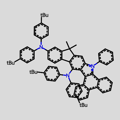 CC(C)(C)c1ccc(N(c2ccc(C(C)(C)C)cc2)c2ccc3c(c2)C(C)(C)c2cc4c(c(N(c5ccc(C(C)(C)C)cc5)c5ccc(C(C)(C)C)cc5)c2-3)c2c3ccccc3c3ccccc3c2n4-c2ccccc2)cc1